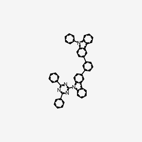 c1ccc(-c2nc(-c3ccccc3)nc(-n3c4ccccc4c4cc(-c5cccc(-c6ccc7c(c6)c6ccccc6n7-c6ccccc6)c5)ccc43)n2)cc1